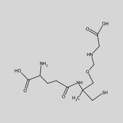 CC(CS)(COCNCC(=O)O)NC(=O)CCC(N)C(=O)O